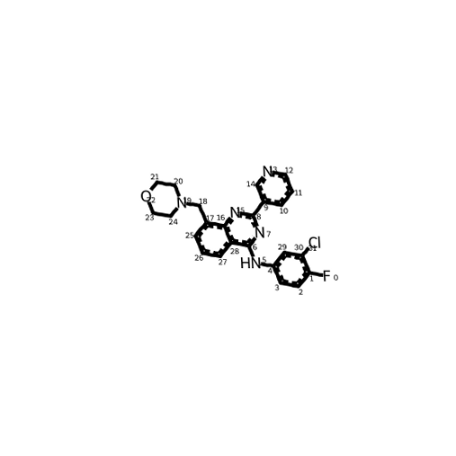 Fc1ccc(Nc2nc(-c3cccnc3)nc3c(CN4CCOCC4)cccc23)cc1Cl